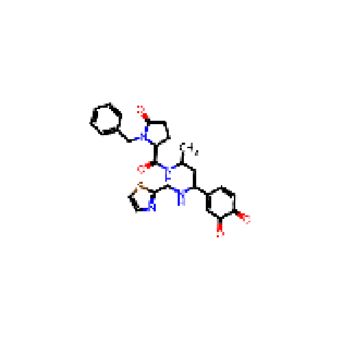 CC(CC(NCc1nccs1)C1=CC(=O)C(=O)C=C1)NC(=O)C1CCC(=O)N1Cc1ccccc1